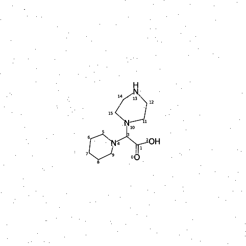 O=C(O)C(N1CCCCC1)N1CCNCC1